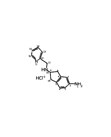 Cl.Nc1ccc2c(c1)CC(NCc1ccccn1)C2